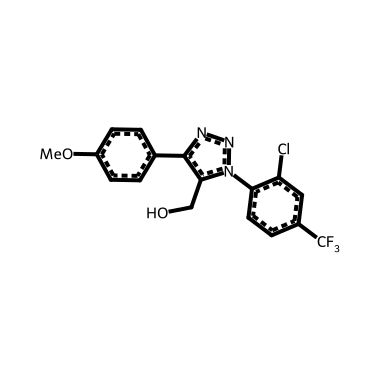 COc1ccc(-c2nnn(-c3ccc(C(F)(F)F)cc3Cl)c2CO)cc1